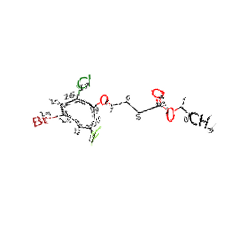 CCOC(=O)CCCOc1c(F)cc(Br)cc1Cl